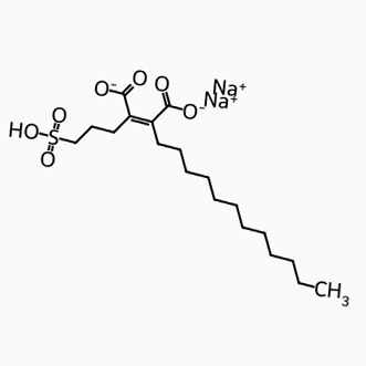 CCCCCCCCCCCC/C(C(=O)[O-])=C(\CCCS(=O)(=O)O)C(=O)[O-].[Na+].[Na+]